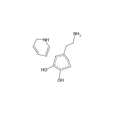 C1=CCNC=C1.NCCc1ccc(O)c(O)c1